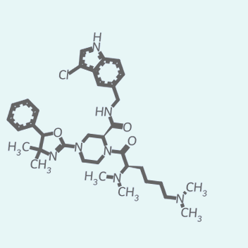 CN(C)CCCC[C@H](C(=O)N1CCN(C2=NC(C)(C)C(c3ccccc3)O2)C[C@H]1C(=O)NCc1ccc2[nH]cc(Cl)c2c1)N(C)C